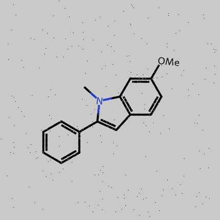 COc1ccc2cc(-c3ccccc3)n(C)c2c1